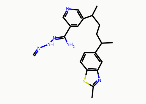 C=NN/N=C(\N)c1cncc(C(C)CCC(C)c2ccc3sc(C)nc3c2)c1